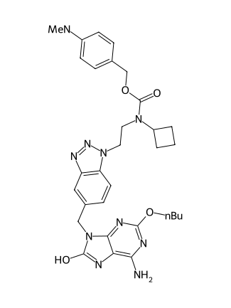 CCCCOc1nc(N)c2nc(O)n(Cc3ccc4c(c3)nnn4CCN(C(=O)OCc3ccc(NC)cc3)C3CCC3)c2n1